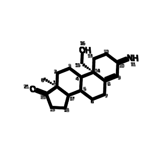 C[C@]12CCC3C(CCC4=CC(=N)CC[C@@]43CO)C1CCC2=O